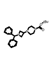 CC(C)(C)OC(=O)N1CCN(C2CN(C(c3ccccc3)c3ccccc3)C2)CC1